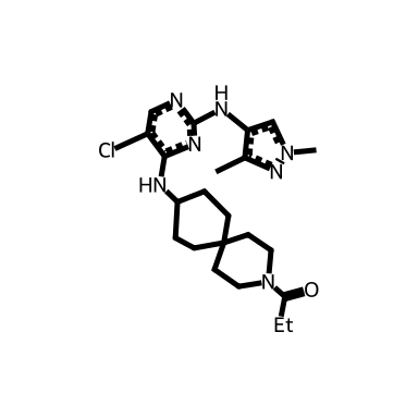 CCC(=O)N1CCC2(CCC(Nc3nc(Nc4cn(C)nc4C)ncc3Cl)CC2)CC1